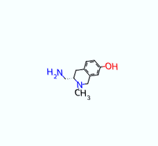 CN1Cc2cc(O)ccc2C[C@H]1CN